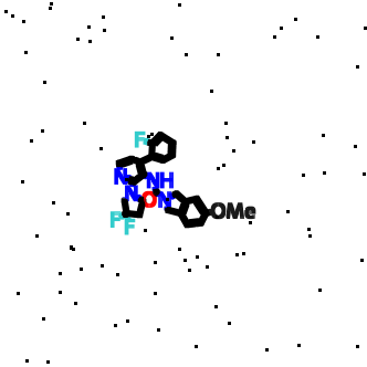 COc1ccc2c(c1)CN(C(=O)Nc1c(-c3ccccc3F)ccnc1N1CCC(F)(F)C1)C2